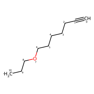 C#CCCCCCOCC[CH2]